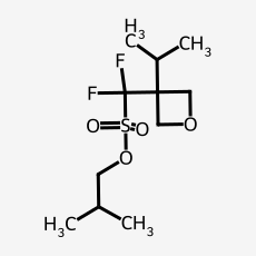 CC(C)COS(=O)(=O)C(F)(F)C1(C(C)C)COC1